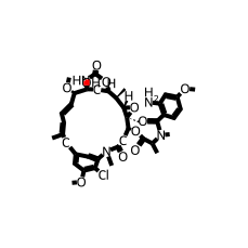 COc1ccc(C(=O)N(C)C(C)C(=O)O[C@H]2CC(=O)N(C)c3cc(cc(OC)c3Cl)C/C(C)=C/C=C/[C@@H](OC)[C@@]3(O)C[C@H](OC(=O)N3)[C@@H](C)[C@@H]3O[C@@]23C)c(N)c1